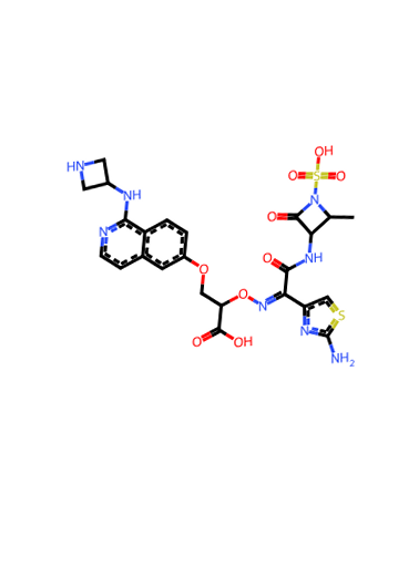 CC1C(NC(=O)/C(=N\OC(COc2ccc3c(NC4CNC4)nccc3c2)C(=O)O)c2csc(N)n2)C(=O)N1S(=O)(=O)O